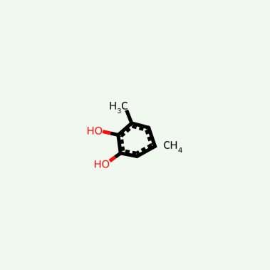 C.Cc1cccc(O)c1O